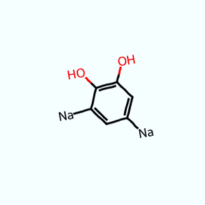 Oc1c[c]([Na])c[c]([Na])c1O